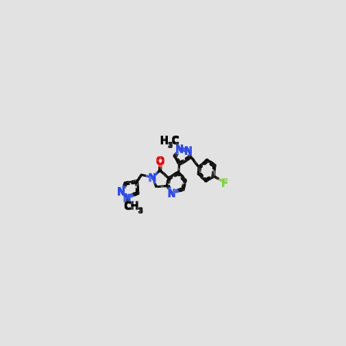 Cn1cc(CN2Cc3nccc(-c4cn(C)nc4-c4ccc(F)cc4)c3C2=O)cn1